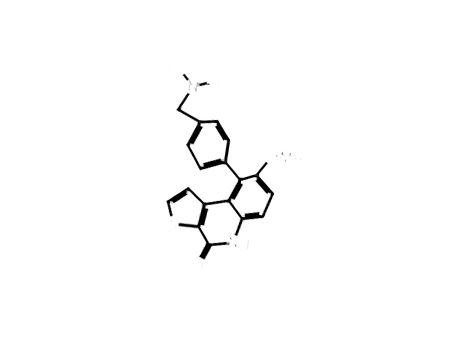 CCN(CC)Cc1ccc(-c2c(OC)ccc3[nH]c(=O)c4sccc4c23)cc1